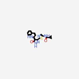 O=C1NN=C(c2ncc(NC(=O)C3CC3)s2)C1=C1C=Cc2ccccc2N1